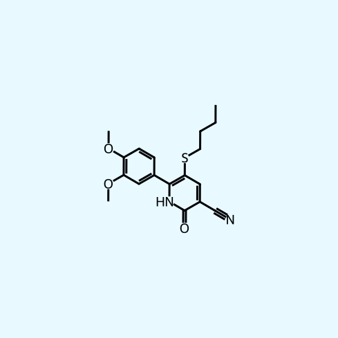 CCCCSc1cc(C#N)c(=O)[nH]c1-c1ccc(OC)c(OC)c1